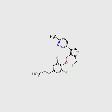 Cc1ccc(-c2csc(CF)c2COc2c(F)cc(CCC(=O)O)cc2F)cn1